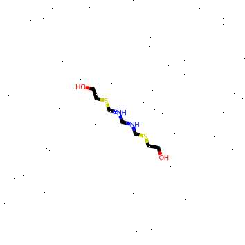 OCCSCNCNCSCCO